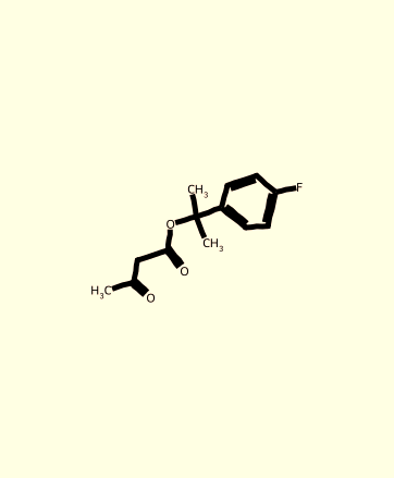 CC(=O)CC(=O)OC(C)(C)c1ccc(F)cc1